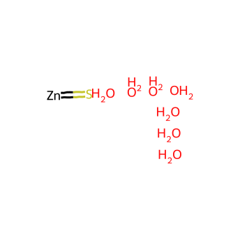 O.O.O.O.O.O.O.[S]=[Zn]